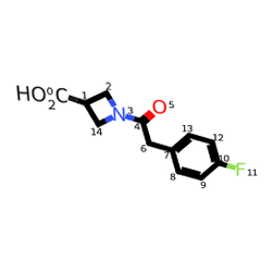 O=C(O)C1CN(C(=O)Cc2ccc(F)cc2)C1